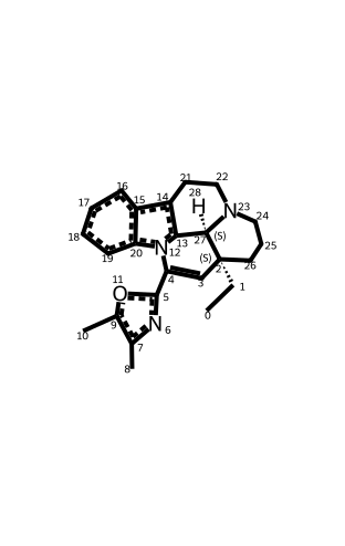 CC[C@@]12C=C(c3nc(C)c(C)o3)n3c4c(c5ccccc53)CCN(CCC1)[C@H]42